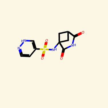 O=C1NC(=O)C2(NS(=O)(=O)C3=CNN=C=C3)CC1C2